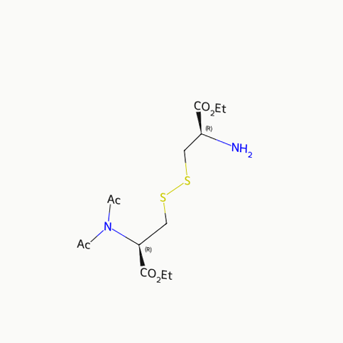 CCOC(=O)[C@@H](N)CSSC[C@@H](C(=O)OCC)N(C(C)=O)C(C)=O